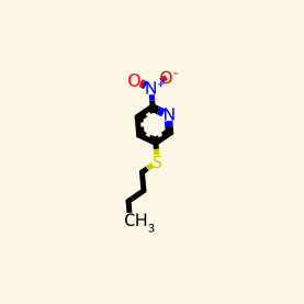 CCCCSc1ccc([N+](=O)[O-])nc1